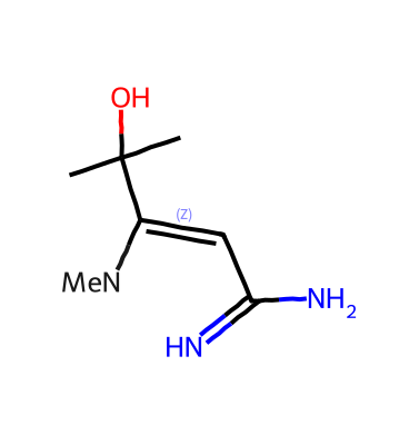 CN/C(=C\C(=N)N)C(C)(C)O